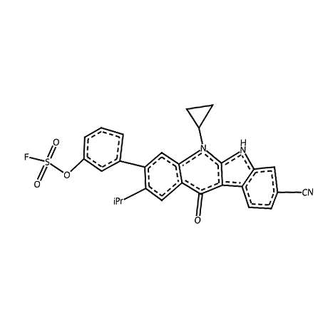 CC(C)c1cc2c(=O)c3c4ccc(C#N)cc4[nH]c3n(C3CC3)c2cc1-c1cccc(OS(=O)(=O)F)c1